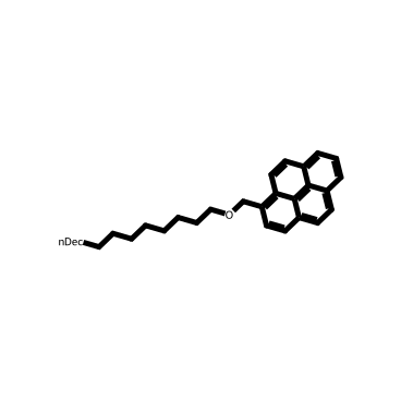 CCCCCCCCCCCCCCCCCCOCc1ccc2ccc3cccc4ccc1c2c34